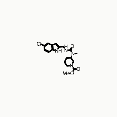 COC(=O)N1CCC[C@@H](N(C)C(=O)NCc2cc3cc(Cl)ccc3[nH]2)C1